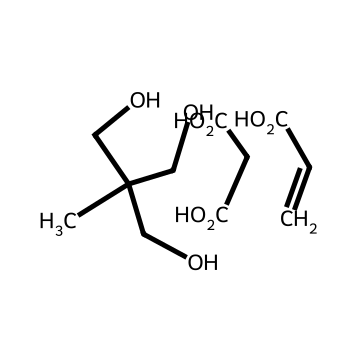 C=CC(=O)O.CC(CO)(CO)CO.O=C(O)CC(=O)O